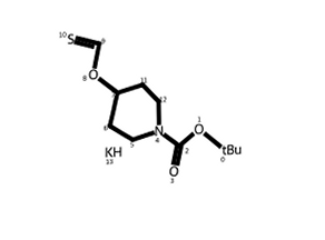 CC(C)(C)OC(=O)N1CCC(OC=S)CC1.[KH]